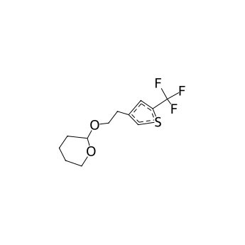 FC(F)(F)c1cc(CCOC2CCCCO2)cs1